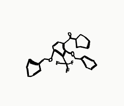 O=C(c1ccc(OCc2ccccc2)c(C(F)(F)F)c1OCc1ccccc1)C1CCCC1